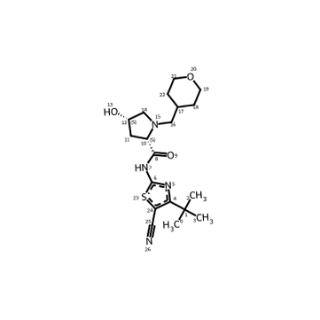 CC(C)(C)c1nc(NC(=O)[C@@H]2C[C@H](O)CN2CC2CCOCC2)sc1C#N